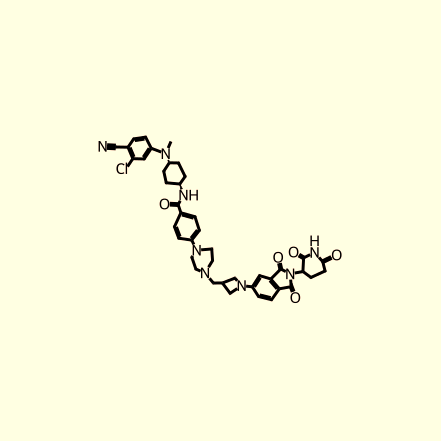 CN(c1ccc(C#N)c(Cl)c1)[C@H]1CC[C@H](NC(=O)c2ccc(N3CCN(CC4CN(c5ccc6c(c5)C(=O)N(C5CCC(=O)NC5=O)C6=O)C4)CC3)cc2)CC1